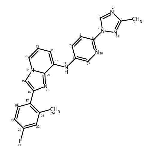 Cc1ncn(-c2ccc(Nc3cccn4cc(-c5ccc(F)cc5C)nc34)cn2)n1